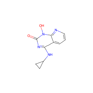 O=c1nc(NC2CC2)c2cccnc2n1O